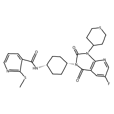 CSc1ncccc1C(=O)N[C@H]1CC[C@@H](n2c(=O)c3cc(F)cnc3n(C3CCSCC3)c2=O)CC1